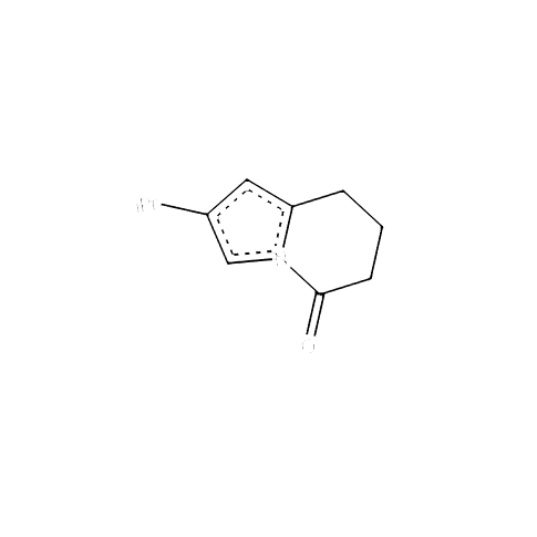 CC(C)c1cc2n(c1)C(=O)CCC2